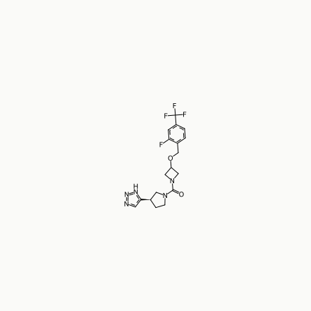 O=C(N1CC(OCc2ccc(C(F)(F)F)cc2F)C1)N1CC[C@@H](c2cnn[nH]2)C1